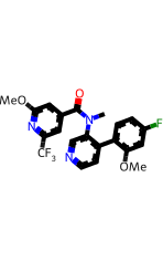 COc1cc(C(=O)N(C)c2cnccc2-c2ccc(F)cc2OC)cc(C(F)(F)F)n1